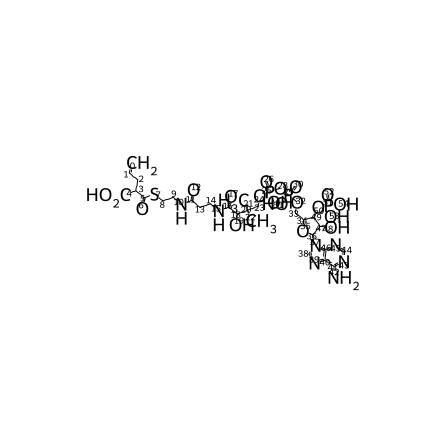 C=CCC(C(=O)O)C(=O)SCCNC(=O)CCNC(=O)C(O)C(C)(C)COP(=O)(O)OP(=O)(O)OCC1OC(n2cnc3c(N)ncnc32)C(O)C1OP(=O)(O)O